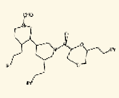 CC(C)CCC1CC(C2CN(C=O)CCC2CCC(C)C)CN(C(=O)C2COCC(CCC(C)C)O2)C1